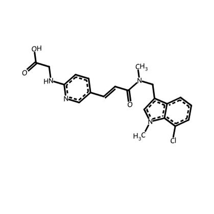 CN(Cc1cn(C)c2c(Cl)cccc12)C(=O)/C=C/c1ccc(NCC(=O)O)nc1